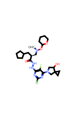 O=CN(C[C@H](CC1CCCC1)C(=O)NNc1nc(Cl)nc(N2CC(O)C3(CC3)C2)c1F)OC1CCCCO1